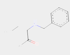 CC(C)(C)C(=O)[C@H](CC(=O)O)NCc1ccccc1